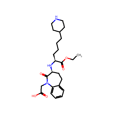 CCOC(=O)[C@H](CCCCC1CCNCC1)N[C@H]1CCc2ccccc2N(CC(=O)O)C1=O